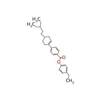 CCc1ccc(OC(=O)c2ccc(C3=CCC(CCC(CC)CC)CC3)cc2)cc1